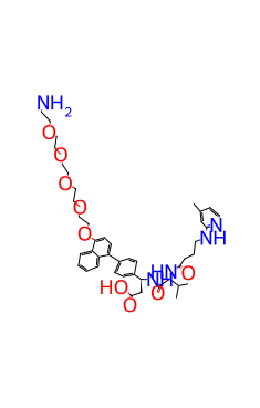 Cc1ccnc(NCCCC(=O)N[C@@H](C(=O)N[C@@H](CC(=O)O)c2ccc(-c3ccc(OCCOCCOCCOCCOCCN)c4ccccc34)cc2)C(C)C)c1